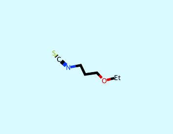 CCOCCCN=C=S